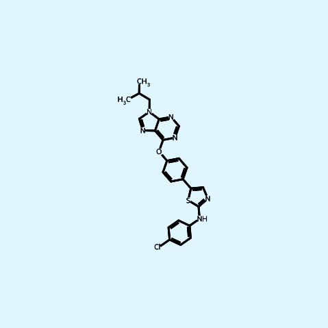 CC(C)Cn1cnc2c(Oc3ccc(-c4cnc(Nc5ccc(Cl)cc5)s4)cc3)ncnc21